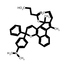 C/C=C\C1=C(C)c2c(c3c(c4ccccc24)OC(c2ccccc2)(c2ccc(N(C)C)cc2)C=C3)C1(C)OC(=O)CCC(=O)O